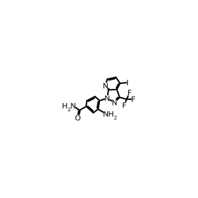 NC(=O)c1ccc(-n2nc(C(F)(F)F)c3c(I)ccnc32)c(N)c1